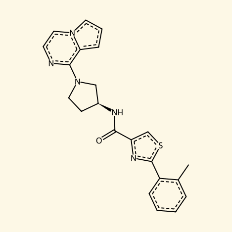 Cc1ccccc1-c1nc(C(=O)N[C@H]2CCN(c3nccn4cccc34)C2)cs1